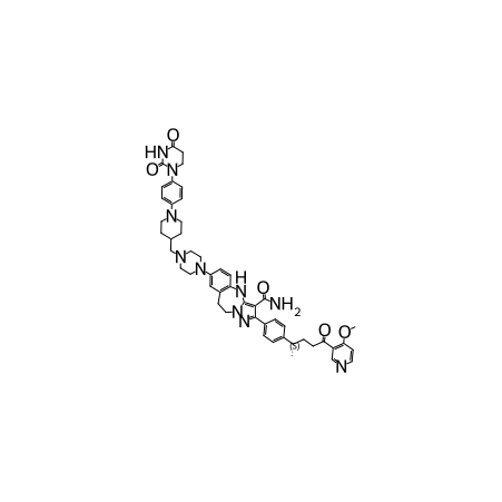 COc1ccncc1C(=O)CC[C@H](C)c1ccc(-c2nn3c(c2C(N)=O)Nc2ccc(N4CCN(CC5CCN(c6ccc(N7CCC(=O)NC7=O)cc6)CC5)CC4)cc2CC3)cc1